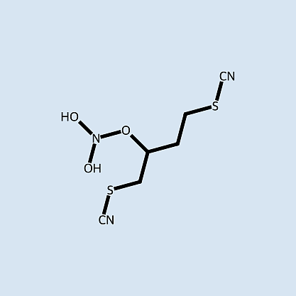 N#CSCCC(CSC#N)ON(O)O